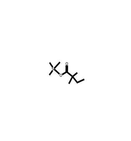 CCC(C)(C)C(=O)O[Si](C)(C)C